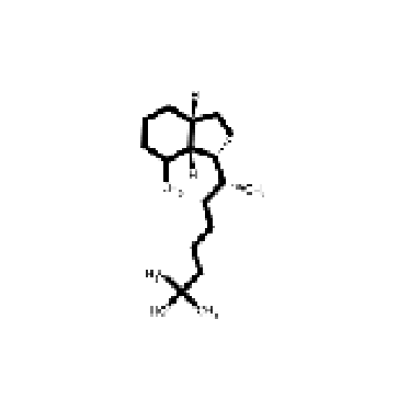 CC1CCC[C@@H]2CC[C@H]([C@H](C)CCCCC(C)(C)O)[C@H]12